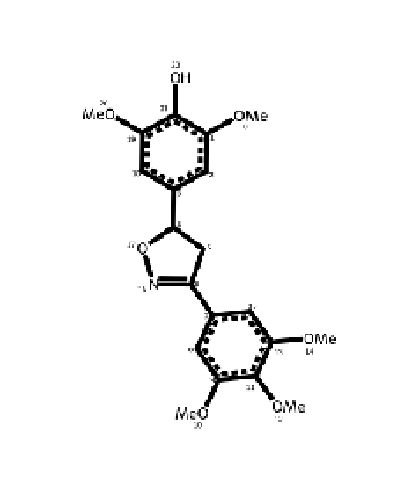 COc1cc(C2CC(c3cc(OC)c(OC)c(OC)c3)=NO2)cc(OC)c1O